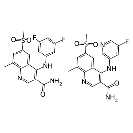 Cc1cc(S(C)(=O)=O)cc2c(Nc3cc(F)cc(F)c3)c(C(N)=O)cnc12.Cc1cc(S(C)(=O)=O)cc2c(Nc3cncc(F)c3)c(C(N)=O)cnc12